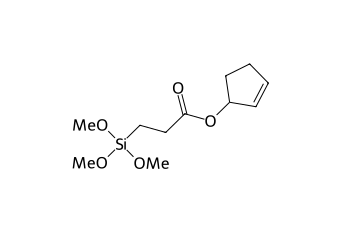 CO[Si](CCC(=O)OC1C=CCC1)(OC)OC